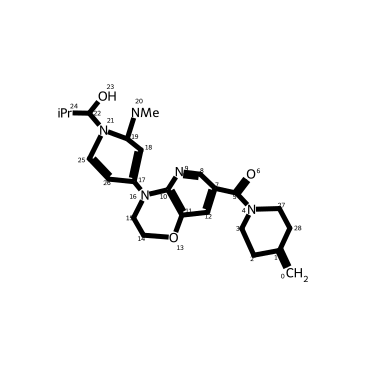 C=C1CCN(C(=O)c2cnc3c(c2)OCCN3C2=CC(NC)N(C(O)C(C)C)C=C2)CC1